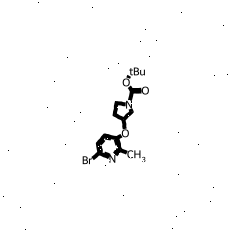 Cc1nc(Br)ccc1OC1CCN(C(=O)OC(C)(C)C)C1